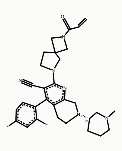 C=CC(=O)N1CC2(CCN(c3nc4c(c(-c5ccc(F)cc5F)c3C#N)CCN([C@H]3CCCN(C)C3)C4)C2)C1